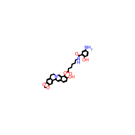 Nc1ccc(O)c(C(=O)NCCCCCC(=O)Oc2c(O)ccc3cc4[n+](cc23)CCc2cc3c(cc2-4)OCO3)c1